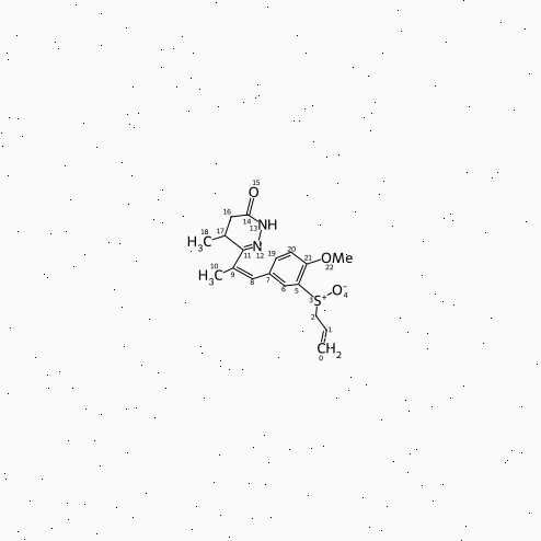 C=CC[S+]([O-])c1cc(C=C(C)C2=NNC(=O)CC2C)ccc1OC